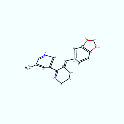 Cc1cncc(C2=NCCCC2=Cc2ccc3c(c2)OCO3)c1